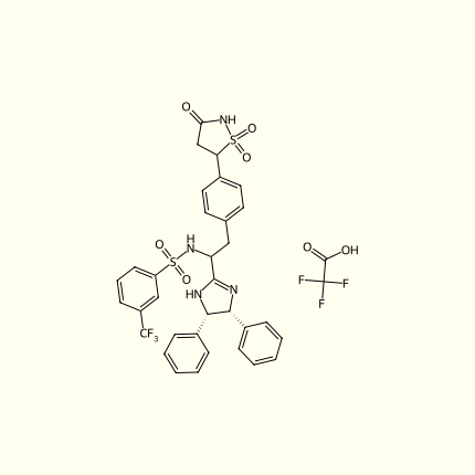 O=C(O)C(F)(F)F.O=C1CC(c2ccc(CC(NS(=O)(=O)c3cccc(C(F)(F)F)c3)C3=N[C@H](c4ccccc4)[C@H](c4ccccc4)N3)cc2)S(=O)(=O)N1